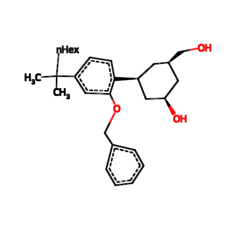 CCCCCCC(C)(C)c1ccc([C@@H]2C[C@H](O)C[C@H](CO)C2)c(OCc2ccccc2)c1